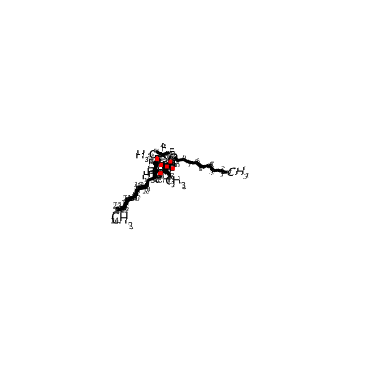 CCCCCCCCCC[O][Sn]([O][Sn]([O]CCCCCCCCCC)([C](F)(F)C(F)CC)[C](F)(F)C(F)CC)([C](F)(F)C(F)CC)[C](F)(F)C(F)CC